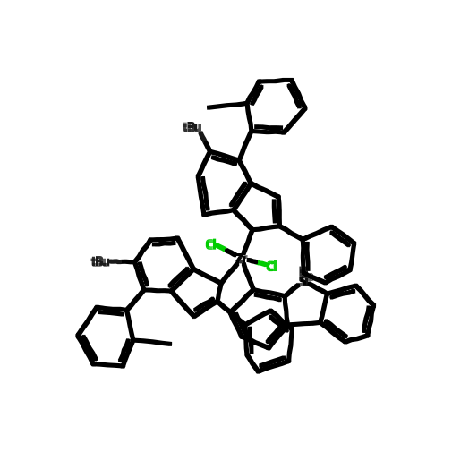 Cc1ccccc1-c1c(C(C)(C)C)ccc2c1C=C(c1ccccc1)[CH]2[Zr]([Cl])([Cl])([c]1cccc2c1[SiH2]c1ccccc1-2)[CH]1C(c2ccccc2)=Cc2c1ccc(C(C)(C)C)c2-c1ccccc1C